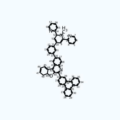 CN1C(c2ccccn2)=CC(c2cccc(-c3ccc4nc(-c5ccc6c7ccccc7c7ccccc7c6c5)c5c(c4c3)C3=CC=CCC3O5)c2)=CC1c1ccccn1